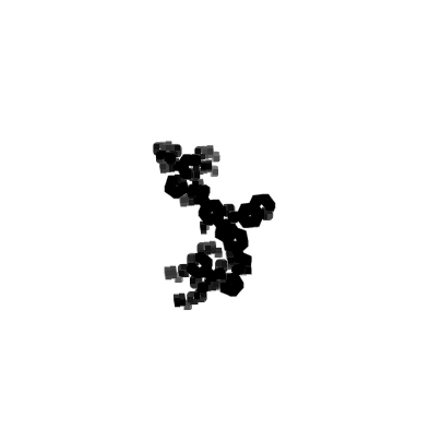 COC(=O)NC(C=C(C)C)C(=O)N1CCC[C@H]1c1ncc(-c2cc(F)c3c(c2)OC(c2ccc4c(c2)CCCO4)n2c-3cc3cc(-c4cnc([C@@H]5CCCN5C(=O)C(NC(=O)OC)C5C[C@@H](C)O[C@@H](C)C5)[nH]4)ccc32)[nH]1